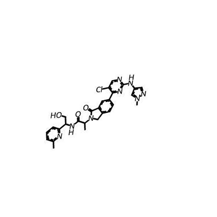 Cc1cccc(C(CO)NC(=O)C(C)N2Cc3ccc(-c4nc(Nc5cnn(C)c5)ncc4Cl)cc3C2=O)n1